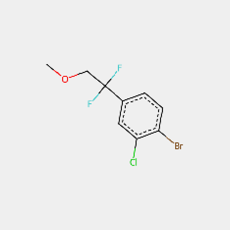 COCC(F)(F)c1ccc(Br)c(Cl)c1